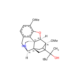 COc1ccc2c3c1O[C@@H]1[C@]34CCN[C@H](C2)[C@]42CC[C@@]1(OC)C(C(C)(O)C(C)(C)C)C2